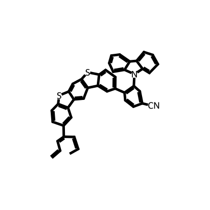 C=C/C=C(\C=C/C)c1ccc2sc3cc4sc5ccc(-c6ccc(C#N)cc6-n6c7ccccc7c7ccccc76)cc5c4cc3c2c1